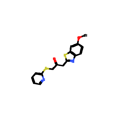 CCOc1ccc2nc(CC(=O)CSc3ccccn3)sc2c1